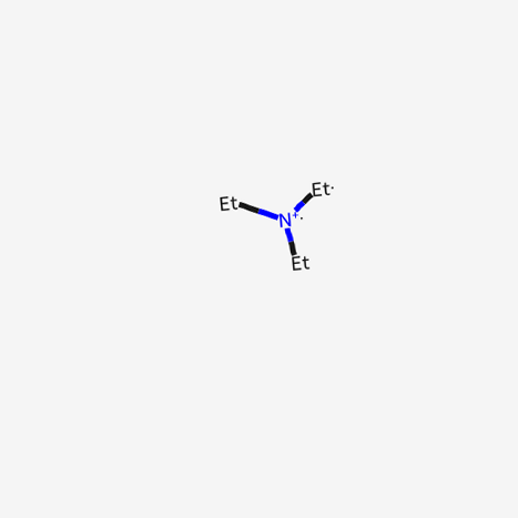 C[CH][N+](CC)CC